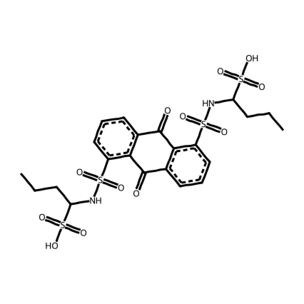 CCCC(NS(=O)(=O)c1cccc2c1C(=O)c1cccc(S(=O)(=O)NC(CCC)S(=O)(=O)O)c1C2=O)S(=O)(=O)O